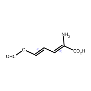 N/C(=C\C=C\OC=O)C(=O)O